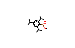 COS(=O)c1c(C(C)C)cc(C(C)C)cc1C(C)C